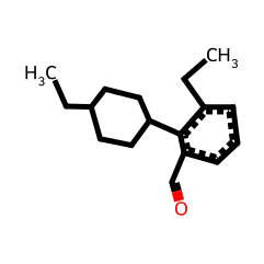 CCc1cccc(C=O)c1C1CCC(CC)CC1